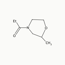 CCC(=O)N1CCOC(C)C1